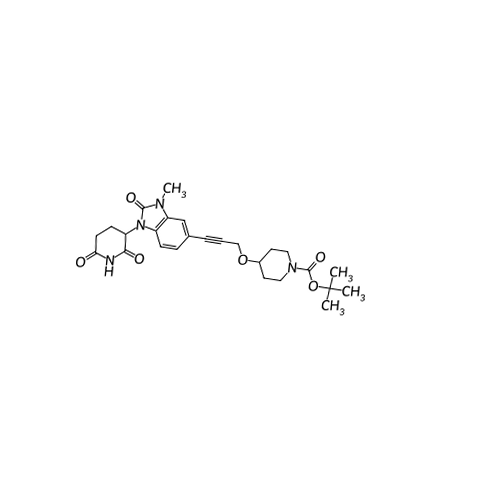 Cn1c(=O)n(C2CCC(=O)NC2=O)c2ccc(C#CCOC3CCN(C(=O)OC(C)(C)C)CC3)cc21